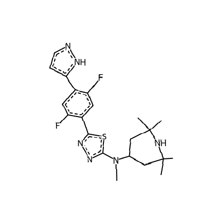 CN(c1nnc(-c2cc(F)c(-c3ccn[nH]3)cc2F)s1)C1CC(C)(C)NC(C)(C)C1